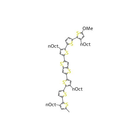 CCCCCCCCc1cc(C)sc1-c1ccc(-c2sc(-c3cc4sc(-c5cc(CCCCCCCC)c(-c6ccc(-c7sc(OC)cc7CCCCCCCC)s6)s5)cc4s3)cc2CCCCCCCC)s1